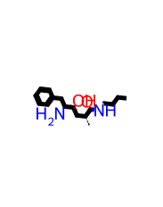 CCCCNC(=O)[C@H](C)C[C@H](O)[C@@H](N)Cc1ccccc1